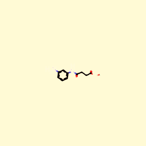 COC(=O)CCC(=O)Nc1cccc(N)c1